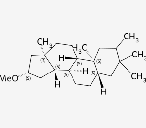 CO[C@H]1C[C@H]2[C@@H]3CC[C@H]4CC(C)(C)C(C)C[C@]4(C)[C@H]3CC[C@]2(C)C1